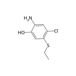 CCSc1cc(O)c(N)cc1Cl